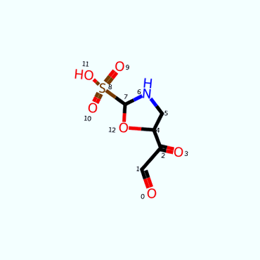 O=CC(=O)C1CNC(S(=O)(=O)O)O1